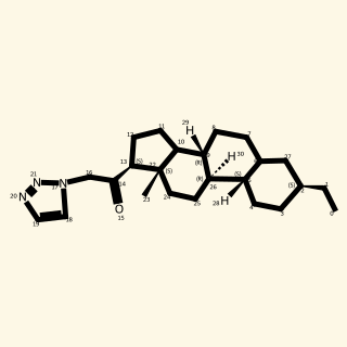 CC[C@H]1CC[C@H]2C(CC[C@H]3C4CC[C@H](C(=O)Cn5ccnn5)[C@@]4(C)CC[C@H]23)C1